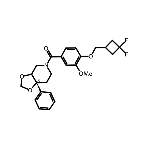 COc1cc(C(=O)N2CC[C@]3(c4ccccc4)OCOC3C2)ccc1OCC1CC(F)(F)C1